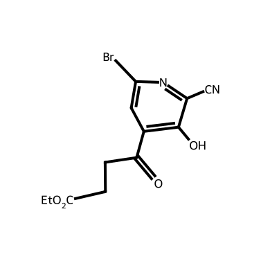 CCOC(=O)CCC(=O)c1cc(Br)nc(C#N)c1O